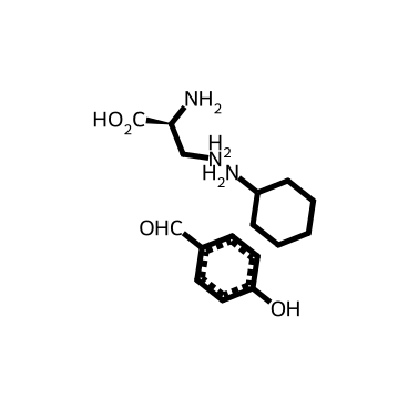 NC1CCCCC1.NC[C@H](N)C(=O)O.O=Cc1ccc(O)cc1